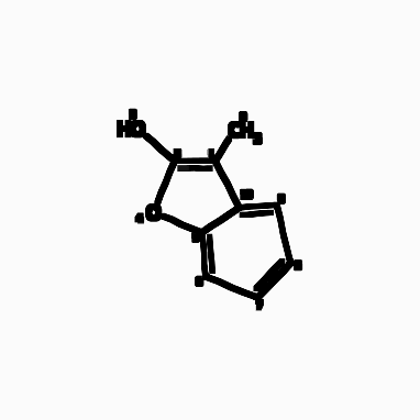 Cc1c(O)oc2ccccc12